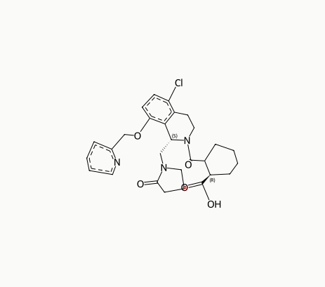 O=C(O)[C@@H]1CCCCC1C(=O)N1CCc2c(Cl)ccc(OCc3ccccn3)c2[C@H]1CN1CCCC1=O